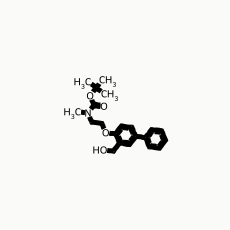 CN(CCOc1ccc(-c2ccccc2)cc1CO)C(=O)OC(C)(C)C